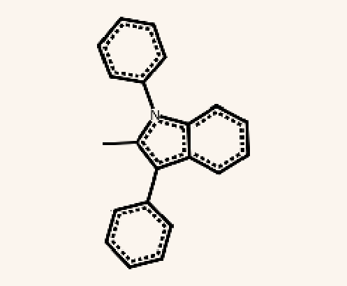 Cc1c(-c2[c]cccc2)c2ccccc2n1-c1ccccc1